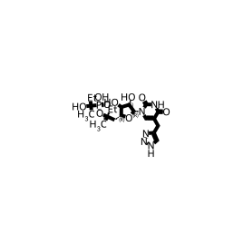 CCC(C)(O)P(=O)(O)O[C@](C)(CC)C[C@H]1O[C@@H](n2cc(Cc3c[nH]nn3)c(=O)[nH]c2=O)[C@@H](O)C1O